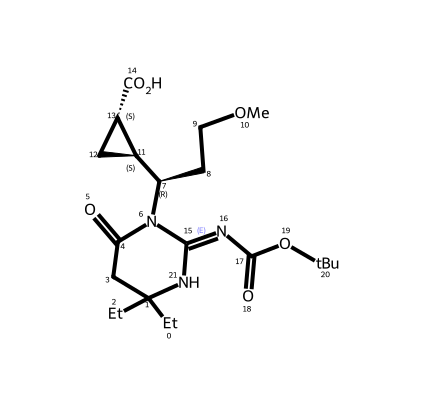 CCC1(CC)CC(=O)N([C@H](CCOC)[C@H]2C[C@@H]2C(=O)O)/C(=N/C(=O)OC(C)(C)C)N1